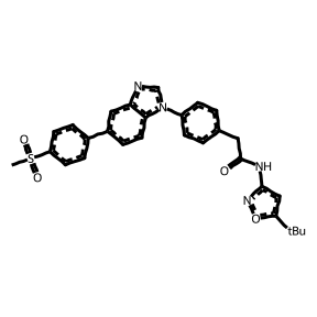 CC(C)(C)c1cc(NC(=O)Cc2ccc(-n3cnc4cc(-c5ccc(S(C)(=O)=O)cc5)ccc43)cc2)no1